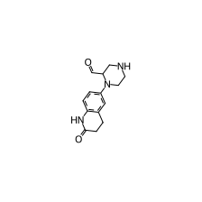 O=CC1CNCCN1c1ccc2c(c1)CCC(=O)N2